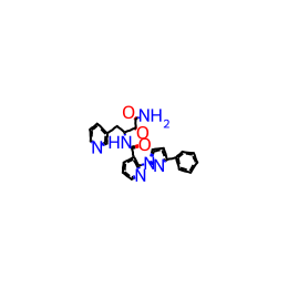 NC(=O)C(=O)C(Cc1cccnc1)NC(=O)c1cccnc1-n1ccc(-c2ccccc2)n1